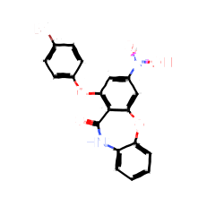 O=C1Nc2ccccc2Oc2cc([N+](=O)O)cc(Oc3ccc(Br)cc3)c21